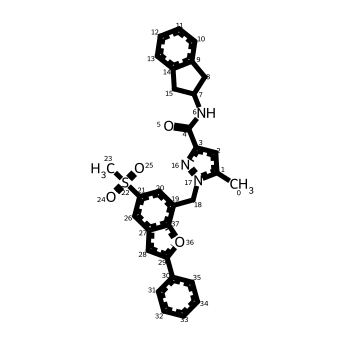 Cc1cc(C(=O)NC2Cc3ccccc3C2)nn1Cc1cc(S(C)(=O)=O)cc2cc(-c3ccccc3)oc12